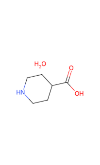 O.O=C(O)C1CCNCC1